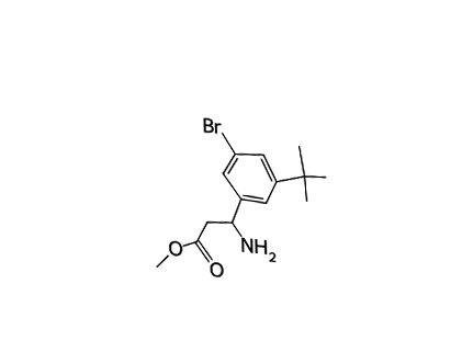 COC(=O)CC(N)c1cc(Br)cc(C(C)(C)C)c1